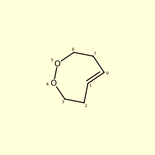 C1=C/CCOOCC/1